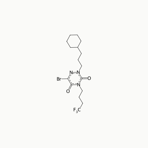 O=c1c(Br)nn(CCCC2CCCCC2)c(=O)n1CCCC(F)(F)F